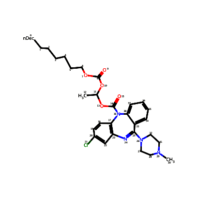 CCCCCCCCCCCCCCCCOC(=O)OC(C)OC(=O)N1c2ccc(Cl)cc2N=C(N2CCN(C)CC2)c2ccccc21